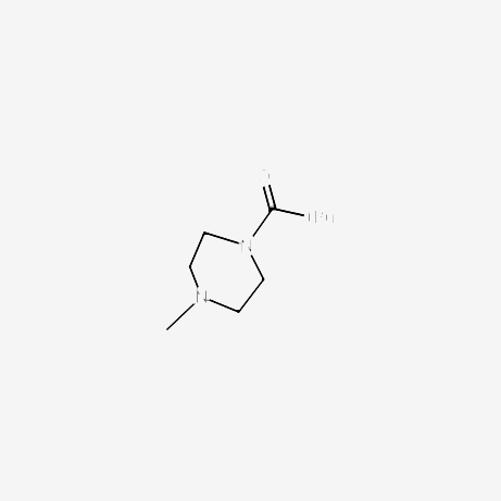 CN1CCN(C(=O)C(C)(C)C)CC1